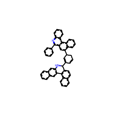 C1=CC(C2Nc3cc4ccccc4cc3-c3c2ccc2ccccc32)=CC(c2cc3c(-c4ccccc4)nc4ccccc4c3c3ccccc23)C1